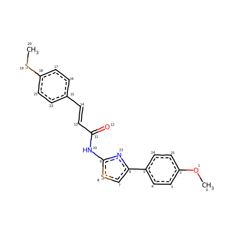 COc1ccc(-c2csc(NC(=O)/C=C/c3ccc(SC)cc3)n2)cc1